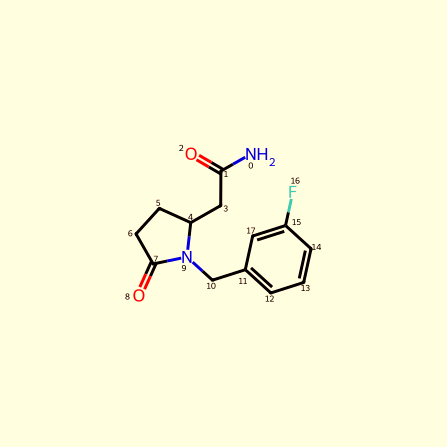 NC(=O)CC1CCC(=O)N1Cc1cccc(F)c1